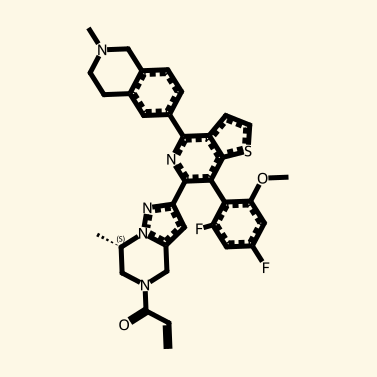 C=CC(=O)N1Cc2cc(-c3nc(-c4ccc5c(c4)CCN(C)C5)c4ccsc4c3-c3c(F)cc(F)cc3OC)nn2[C@@H](C)C1